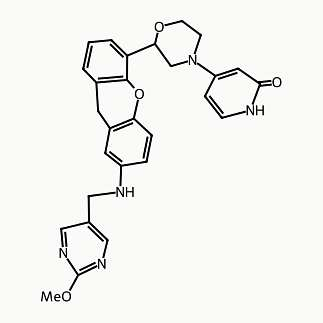 COc1ncc(CNc2ccc3c(c2)Cc2cccc(C4CN(c5cc[nH]c(=O)c5)CCO4)c2O3)cn1